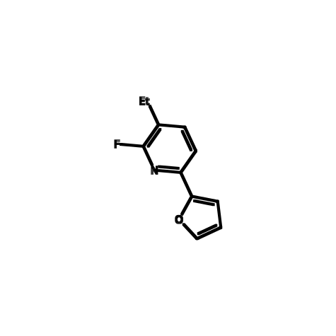 CCc1ccc(-c2ccco2)nc1F